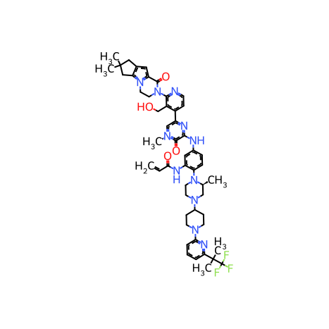 C=CC(=O)Nc1cc(Nc2nc(-c3ccnc(N4CCn5c(cc6c5CC(C)(C)C6)C4=O)c3CO)cn(C)c2=O)ccc1N1CCN(C2CCN(c3cccc(C(C)(C)C(F)(F)F)n3)CC2)C[C@@H]1C